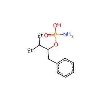 CCC(CC)C(Cc1ccccc1)OP(N)(=O)O